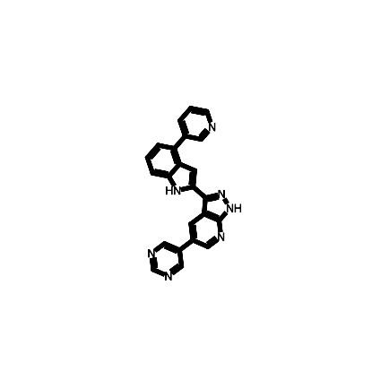 c1cncc(-c2cccc3[nH]c(-c4n[nH]c5ncc(-c6cncnc6)cc45)cc23)c1